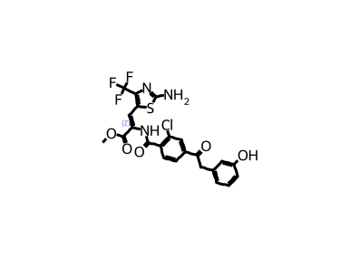 COC(=O)/C(=C/c1sc(N)nc1C(F)(F)F)NC(=O)c1ccc(C(=O)Cc2cccc(O)c2)cc1Cl